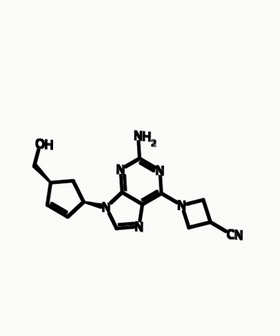 N#CC1CN(c2nc(N)nc3c2ncn3[C@H]2C=C[C@@H](CO)C2)C1